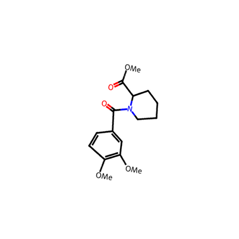 COC(=O)C1CCCCN1C(=O)c1ccc(OC)c(OC)c1